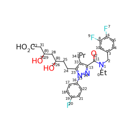 CCN(Cc1ccc(F)c(F)c1)C(=O)c1nn(-c2ccc(F)cc2)c(CC[C@@H](O)C[C@@H](O)CC(=O)O)c1C(C)C